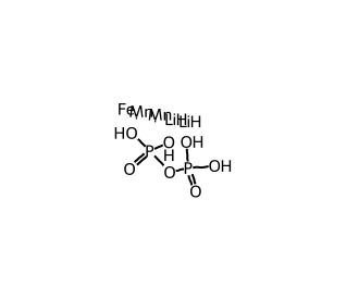 O=P(O)(O)OP(=O)(O)O.[Fe].[LiH].[LiH].[Mn].[Mn]